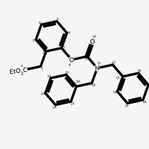 CCOC(=O)Cc1ccccc1OC(=O)N(Cc1ccccc1)Cc1ccccc1